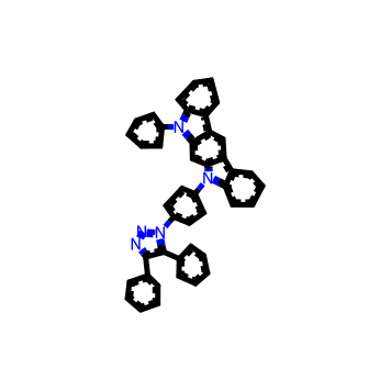 c1ccc(-c2nnn(-c3ccc(-n4c5ccccc5c5cc6c7ccccc7n(-c7ccccc7)c6cc54)cc3)c2-c2ccccc2)cc1